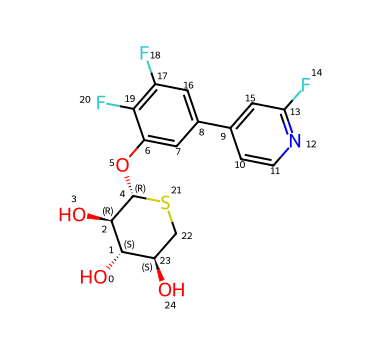 O[C@@H]1[C@@H](O)[C@H](Oc2cc(-c3ccnc(F)c3)cc(F)c2F)SC[C@H]1O